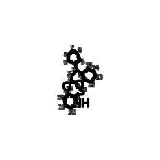 O=C(CC(c1ccccc1)c1ccccc1)Oc1ccc[nH]c1=S